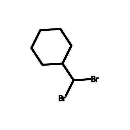 BrC(Br)C1CCCCC1